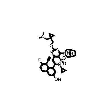 C#Cc1c(F)ccc2cc(O)cc(C3=Cc4nc(OCC5(CN(C)C)CC5)nc(N5CC6CCC(C5)N6)c4S(=O)(=O)N3C3CC3)c12